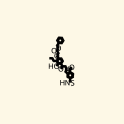 CCCc1c(OCC(=O)OCc2ccccc2)ccc(C(=O)CN2Cc3cc(C(=N)SC)ccc3C2=O)c1O